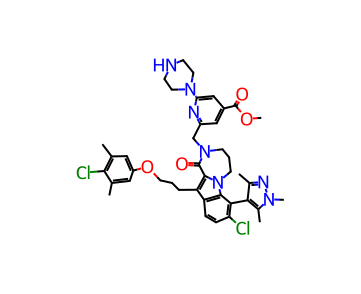 COC(=O)c1cc(CN2CCCn3c(c(CCCOc4cc(C)c(Cl)c(C)c4)c4ccc(Cl)c(-c5c(C)nn(C)c5C)c43)C2=O)nc(N2CCNCC2)c1